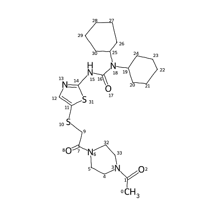 CC(=O)N1CCN(C(=O)CSc2cnc(NC(=O)N(C3CCCCC3)C3CCCCC3)s2)CC1